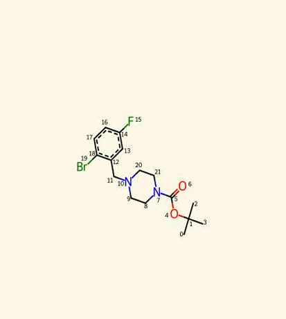 CC(C)(C)OC(=O)N1CCN(Cc2cc(F)ccc2Br)CC1